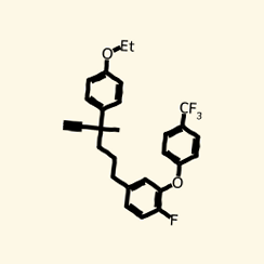 C#CC(C)(CCCc1ccc(F)c(Oc2ccc(C(F)(F)F)cc2)c1)c1ccc(OCC)cc1